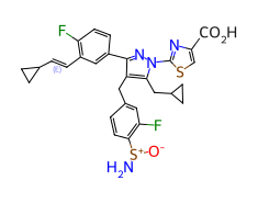 N[S+]([O-])c1ccc(Cc2c(-c3ccc(F)c(/C=C/C4CC4)c3)nn(-c3nc(C(=O)O)cs3)c2CC2CC2)cc1F